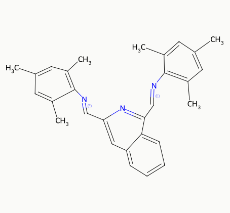 Cc1cc(C)c(/N=C/c2cc3ccccc3c(/C=N/c3c(C)cc(C)cc3C)n2)c(C)c1